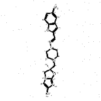 C[C@@]1(CN2CCN(N=Cc3cc4cc(C(F)(F)F)ccc4o3)CC2)Cn2cc([N+](=O)[O-])nc2O1